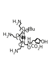 CC(C)(C)OC(=O)N[C@@H](CCCCN)C(=O)N[C@@H](CCCCN)C(=O)N[C@@H](CCCCN)C(=O)N[C@@H](Cc1ccc(O)cc1)C(=O)O